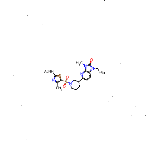 CC(=O)Nc1nc(C)c(S(=O)(=O)N2CCCC(c3ccc4c(n3)n(C)c(=O)n4CC(C)(C)C)C2)s1